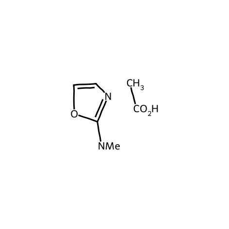 CC(=O)O.CNc1ncco1